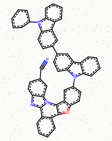 N#Cc1ccc2nc3c4ccccc4c4oc5ccc(-n6c7ccccc7c7cc(-c8ccc9c(c8)c8ccccc8n9-c8ccccc8)ccc76)cc5c4n3c2c1